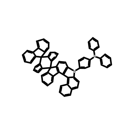 c1ccc(N(c2ccccc2)c2ccc(-n3c4ccc5c(c4c4c6ccccc6ccc43)-c3ccccc3C53c4ccccc4C4(c5ccccc5-c5ccccc54)c4ccccc43)cc2)cc1